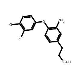 Nc1cc(CCC(=O)O)ccc1Oc1ccc(Cl)c(Cl)c1